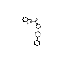 O=C(NCc1ccccc1Cl)N1CCC(N2CCC(c3ccccc3)CC2)C1